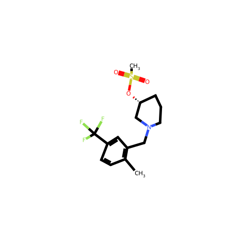 Cc1ccc(C(F)(F)F)cc1CN1CCC[C@@H](OS(C)(=O)=O)C1